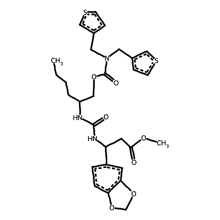 CCCCC(COC(=O)N(Cc1ccsc1)Cc1ccsc1)NC(=O)NC(CC(=O)OC)c1ccc2c(c1)OCO2